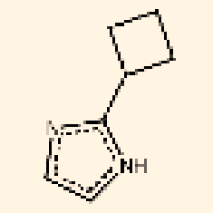 [c]1c[nH]c(C2CCC2)n1